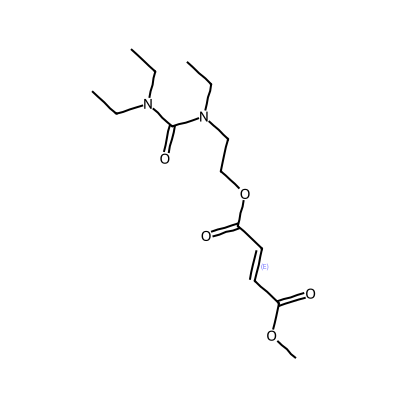 CCN(CC)C(=O)N(CC)CCOC(=O)/C=C/C(=O)OC